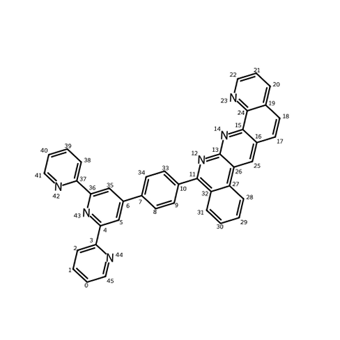 c1ccc(-c2cc(-c3ccc(-c4nc5nc6c(ccc7cccnc76)cc5c5ccccc45)cc3)cc(-c3ccccn3)n2)nc1